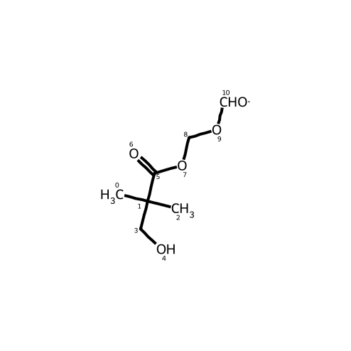 CC(C)(CO)C(=O)OCO[C]=O